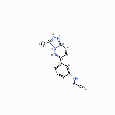 CCNc1cccc(-c2ccc3nnc(C)n3n2)c1